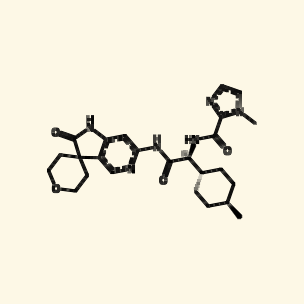 Cn1ccnc1C(=O)N[C@H](C(=O)Nc1cc2c(cn1)C1(CCOCC1)C(=O)N2)[C@H]1CC[C@H](C)CC1